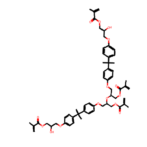 C=C(C)C(=O)OCC(O)COc1ccc(C(C)(C)c2ccc(OCC(COC(=O)C(=C)C)OC(COC(=O)C(=C)C)COc3ccc(C(C)(C)c4ccc(OCC(O)COC(=O)C(=C)C)cc4)cc3)cc2)cc1